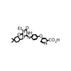 CCn1c(=O)[nH]/c(=N\c2ccc(Oc3ccnc(C(=O)O)c3)cc2)n(CC2CCC(C)(C)CC2)c1=O